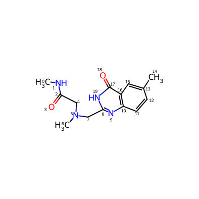 CNC(=O)CN(C)Cc1nc2ccc(C)cc2c(=O)[nH]1